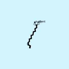 C=C/C=C\CCCCCCCCCC(OCCCCC)OCCCCC